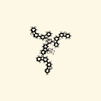 CC1(C)c2cc(-c3cc(-n4c5ccccc5c5cc(-c6ccc7oc8ccccc8c7c6)ccc54)nc(-n4c5ccccc5c5cc(-c6ccc7oc8ccccc8c7c6)ccc54)n3)ccc2-c2ccc(-n3c4ccccc4c4cc(-c5ccc6oc7ccccc7c6c5)ccc43)cc21